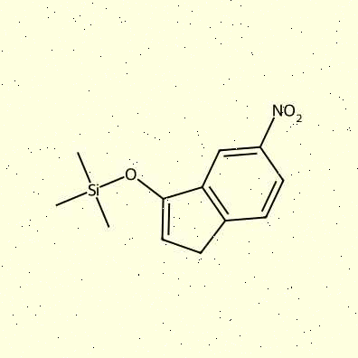 C[Si](C)(C)OC1=CCc2ccc([N+](=O)[O-])cc21